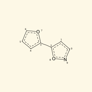 [c]1cc(-c2ccco2)on1